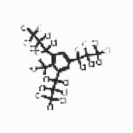 CC(C)([O])c1c(C(Cl)(Cl)C(Cl)(Cl)C(Cl)(Cl)Cl)cc(C(Cl)(Cl)C(Cl)(Cl)C(Cl)(Cl)Cl)cc1C(Cl)(Cl)C(Cl)(Cl)C(Cl)(Cl)Cl